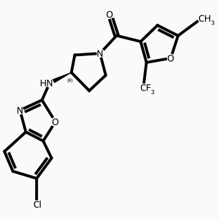 Cc1cc(C(=O)N2CC[C@@H](Nc3nc4ccc(Cl)cc4o3)C2)c(C(F)(F)F)o1